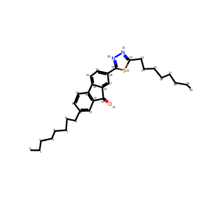 CCCCCCCCc1ccc2c(c1)C(=O)c1cc(-c3nnc(CCCCCCCC)s3)ccc1-2